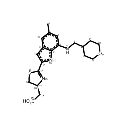 Cc1cc(NCC2CCOCC2)c2[nH]c(C3=N[C@@H](CC(=O)O)CS3)cc2c1